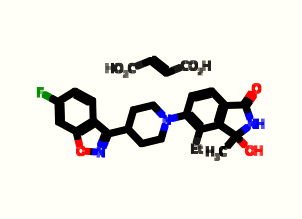 CCc1c(N2CCC(c3noc4cc(F)ccc34)CC2)ccc2c1C(C)(O)NC2=O.O=C(O)C=CC(=O)O